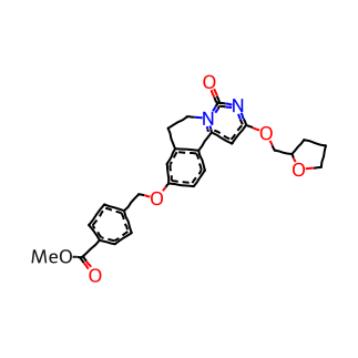 COC(=O)c1ccc(COc2ccc3c(c2)CCn2c-3cc(OCC3CCCO3)nc2=O)cc1